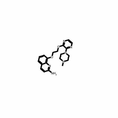 CN1CCN(c2nccnc2OCCOc2cccc3ccc(N)nc23)CC1